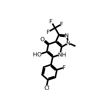 Cn1nc(C(F)(F)F)c2c(=O)c(O)c(-c3ccc(Cl)cc3F)[nH]c21